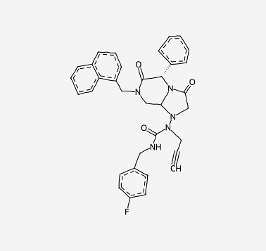 C#CCN(C(=O)NCc1ccc(F)cc1)N1CC(=O)N2C1CN(Cc1cccc3ccccc13)C(=O)[C@@H]2c1ccccc1